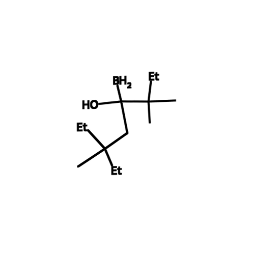 BC(O)(CC(C)(CC)CC)C(C)(C)CC